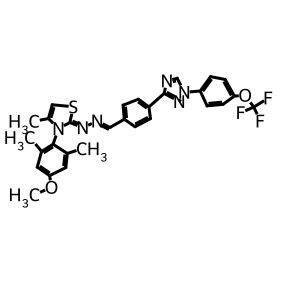 COc1cc(C)c(-n2c(C)cs/c2=N\N=C\c2ccc(-c3ncn(-c4ccc(OC(F)(F)F)cc4)n3)cc2)c(C)c1